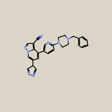 N#Cc1cnn2cc(C3C=NN=C3)cc(-c3ccc(N4CCN(Cc5ccccc5)CC4)nc3)c12